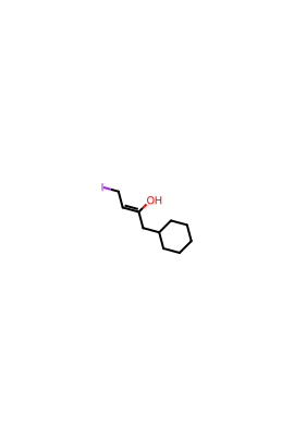 OC(=CCI)CC1CCCCC1